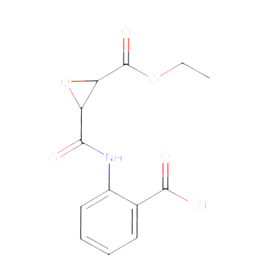 CCOC(=O)C1OC1C(=O)Nc1ccccc1C(=O)O